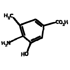 Cc1cc(C(=O)O)cc(O)c1N